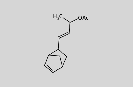 CC(=O)OC(C)C=CC1CC2C=CC1C2